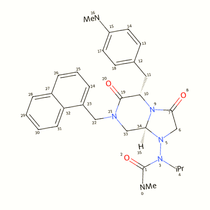 CNC(=O)N(C(C)C)N1CC(=O)N2[C@@H](Cc3ccc(NC)cc3)C(=O)N(Cc3cccc4ccccc34)C[C@@H]21